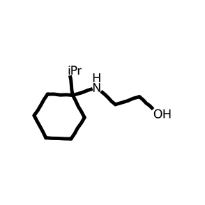 CC(C)C1(NCCO)CCCCC1